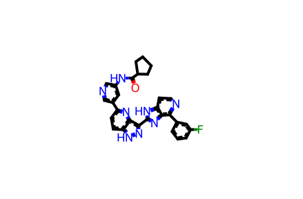 O=C(Nc1cncc(-c2ccc3[nH]nc(-c4nc5c(-c6cccc(F)c6)nccc5[nH]4)c3n2)c1)C1CCCC1